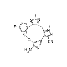 Cc1nc2c(s1)-c1ccc(F)cc1[C@@H](C)Oc1cc(cnc1N)-c1c(C#N)nn(C)c1C2